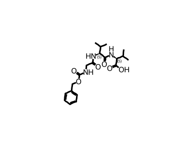 CC(C)[C@H](NC(=O)[C@@H](NC(=O)CNC(=O)OCc1ccccc1)C(C)C)C(=O)O